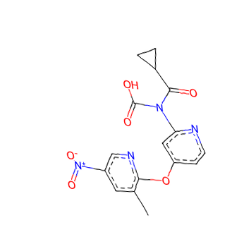 Cc1cc([N+](=O)[O-])cnc1Oc1ccnc(N(C(=O)O)C(=O)C2CC2)c1